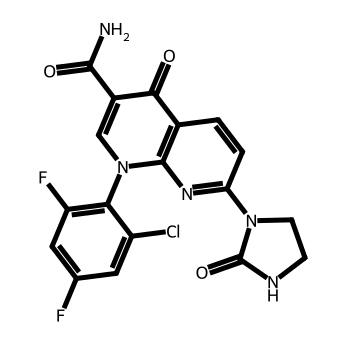 NC(=O)c1cn(-c2c(F)cc(F)cc2Cl)c2nc(N3CCNC3=O)ccc2c1=O